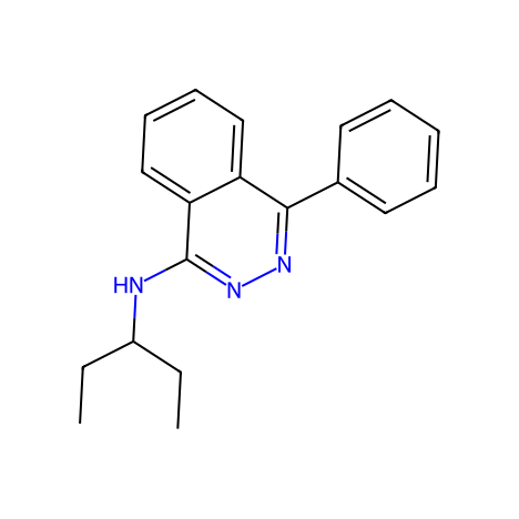 CCC(CC)Nc1nnc(-c2ccccc2)c2ccccc12